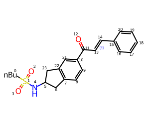 CCCCS(=O)(=O)NC1Cc2ccc(C(=O)/C=C/c3ccccc3)cc2C1